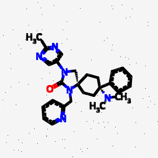 Cc1ncc(N2C[C@]3(CC[C@@](c4ccccc4)(N(C)C)CC3)N(Cc3ccccn3)C2=O)cn1